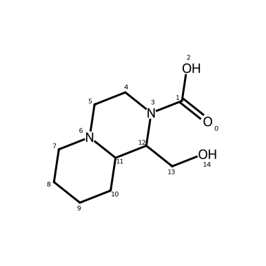 O=C(O)N1CCN2CCCCC2C1CO